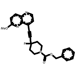 COc1ccc2nccc(C#CC3(F)CCN(C(=O)OCc4ccccc4)CC3)c2n1